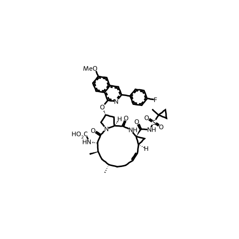 COc1ccc2c(O[C@@H]3C[C@H]4C(=O)N[C@]5(C(=O)NS(=O)(=O)C6(C)CC6)C[C@H]5C=CCC[C@H](C)C[C@@H](C)[C@H](NC(=O)O)C(=O)N4C3)nc(-c3ccc(F)cc3)cc2c1